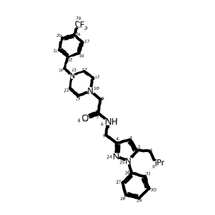 CC(C)Cc1cc(CNC(=O)CN2CCN(Cc3ccc(C(F)(F)F)cc3)CC2)nn1-c1ccccc1